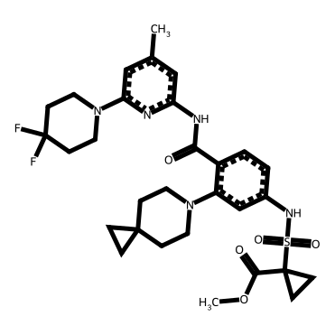 COC(=O)C1(S(=O)(=O)Nc2ccc(C(=O)Nc3cc(C)cc(N4CCC(F)(F)CC4)n3)c(N3CCC4(CC3)CC4)c2)CC1